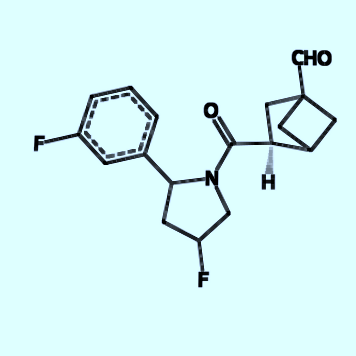 O=CC12CC(C1)[C@@H](C(=O)N1CC(F)CC1c1cccc(F)c1)C2